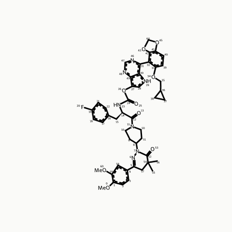 COc1ccc(C2=NN(C3CCN(C(=O)[C@@H](Cc4ccc(F)cc4)NC(=O)Oc4c[nH]c5c(-c6c(OCC7CC7)ccc7c6OCO7)ncnc45)CC3)C(=O)C(C)(C)C2)cc1OC